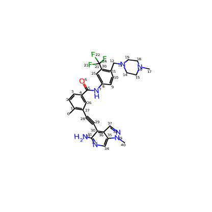 Cc1ccc(C(=O)Nc2ccc(CN3CCN(C)CC3)c(C(F)(F)F)c2)cc1C#Cc1c(N)ncc2c1cnn2C